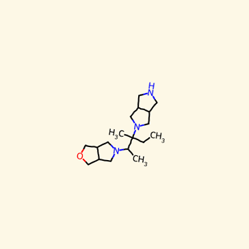 CCC(C)(C(C)N1CC2COCC2C1)N1CC2CNCC2C1